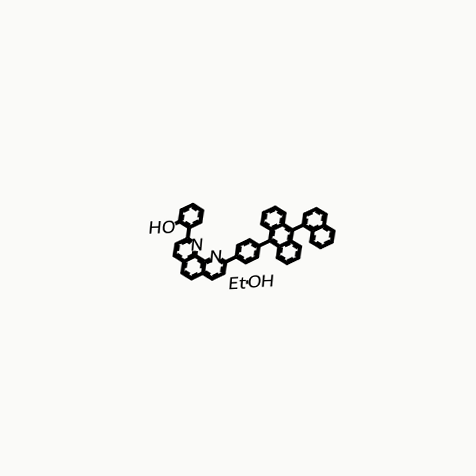 CCO.Oc1ccccc1-c1ccc2ccc3ccc(-c4ccc(-c5c6ccccc6c(-c6cccc7ccccc67)c6ccccc56)cc4)nc3c2n1